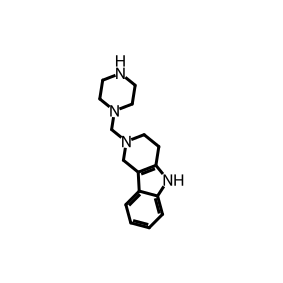 c1ccc2c3c([nH]c2c1)CCN(CN1CCNCC1)C3